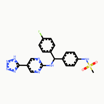 CS(=O)(=O)Nc1ccc(C(Nc2ncc(-c3nnn[nH]3)cn2)c2ccc(F)cc2)cc1